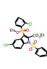 CCOC(=O)c1c(P(=O)(OCC)c2ccccc2Cl)c2cc(Cl)ccc2n1S(=O)(=O)c1ccccc1